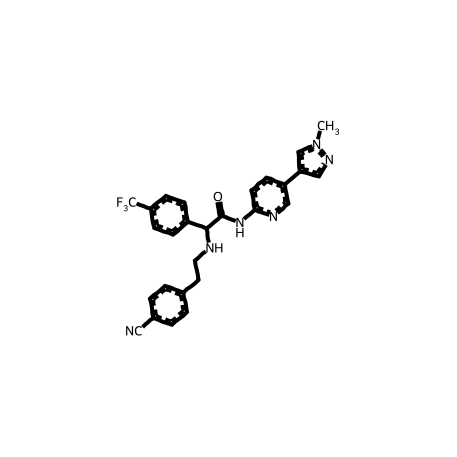 Cn1cc(-c2ccc(NC(=O)C(NCCc3ccc(C#N)cc3)c3ccc(C(F)(F)F)cc3)nc2)cn1